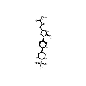 COC(=S)NCC1CN(c2ccc(N3CCN(S(C)(=O)=O)CC3)cc2)C(=O)O1